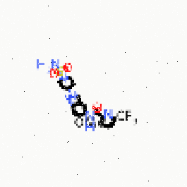 COc1cc2nn(C3CCN(S(N)(=O)=O)CC3)cc2cc1NC(=O)c1cccc(C(F)(F)F)n1